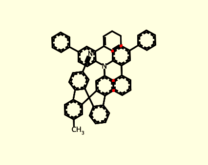 Cc1ccc2c(c1)C1(c3ccccc3-c3ccc(N(c4ccc(-c5ccccc5)cc4C4=CCCC=C4)c4ccc(-c5ccccc5)cc4-c4ccccc4)cc31)c1cc(C#N)ccc1-2